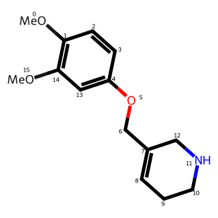 COc1ccc(OCC2=CCCNC2)cc1OC